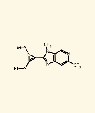 CCSC1=C(c2nc3cc(C(F)(F)F)ncc3n2C)N1SC